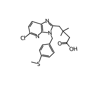 CSc1ccc(Cn2c(CC(C)(C)CC(=O)O)nc3ccc(Cl)nc32)cc1